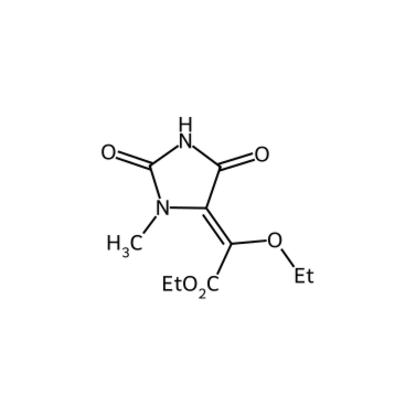 CCOC(=O)C(OCC)=C1C(=O)NC(=O)N1C